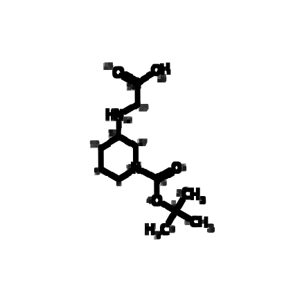 CC(C)(C)OC(=O)N1CCCC(NCC(=O)O)C1